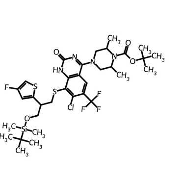 CC1CN(c2nc(=O)[nH]c3c(SCC(CO[Si](C)(C)C(C)(C)C)c4cc(F)cs4)c(Cl)c(C(F)(F)F)cc23)CC(C)N1C(=O)OC(C)(C)C